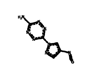 Nc1nnc(-n2cc(N=O)cn2)nn1